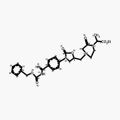 CCOC(=O)C(C)N1CCN(CC2CN(c3ccc(C(=N)NC(=O)OCc4ccccc4)cc3)C(=O)O2)CC1=O